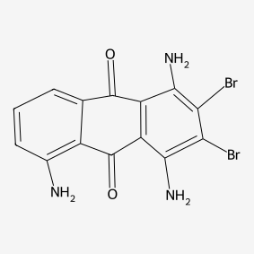 Nc1cccc2c1C(=O)c1c(N)c(Br)c(Br)c(N)c1C2=O